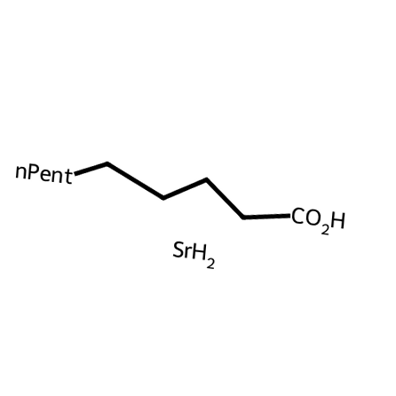 CCCCCCCCCC(=O)O.[SrH2]